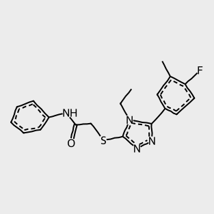 CCn1c(SCC(=O)Nc2ccccc2)nnc1-c1ccc(F)c(C)c1